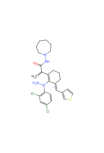 C=C(C(=O)NN1CCCCCC1)C1=C(N(N)c2ccc(Cl)cc2Cl)/C(=C/c2ccsc2)CCC1